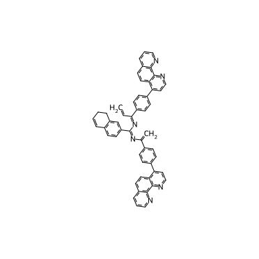 C=C/C(=N\C(=N/C(=C)c1ccc(-c2ccnc3c2ccc2cccnc23)cc1)c1ccc2c(c1)CCC=C2)c1ccc(-c2ccnc3c2ccc2cccnc23)cc1